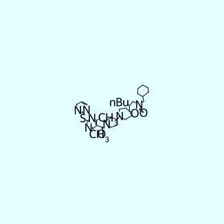 CCCCC1CN(CC2CCCCC2)C(=O)OC12CCN(C1CCN(C(=O)c3c(C)nc(Sc4ncccn4)nc3C)CC1)CC2